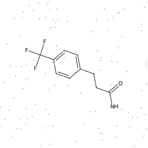 [NH]C(=O)CCc1ccc(C(F)(F)F)cc1